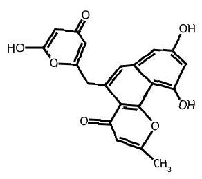 Cc1cc(=O)c2c(Cc3cc(=O)cc(O)o3)cc3cc(O)cc(O)c3c2o1